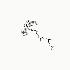 CC(=CCSCC(Nc1nccs1)C(=O)NC(N)=O)CCCC(C)CCCC(C)CCCC(C)C